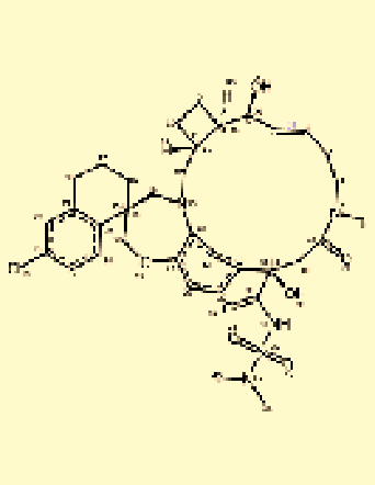 CN1CC/C=C/[C@H](O)[C@@H]2CC[C@H]2CN2C[C@@]3(CCCc4cc(Cl)ccc43)COc3ccc(cc32)[C@@](O)(C(=O)NS(=O)(=O)N(C)C)CC1=O